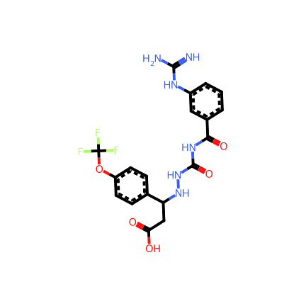 N=C(N)Nc1cccc(C(=O)NC(=O)NNC(CC(=O)O)c2ccc(OC(F)(F)F)cc2)c1